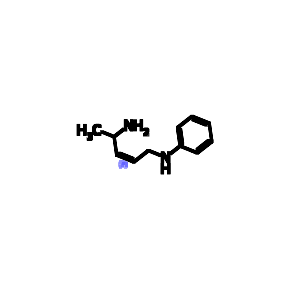 CC(N)/C=C\CNc1ccccc1